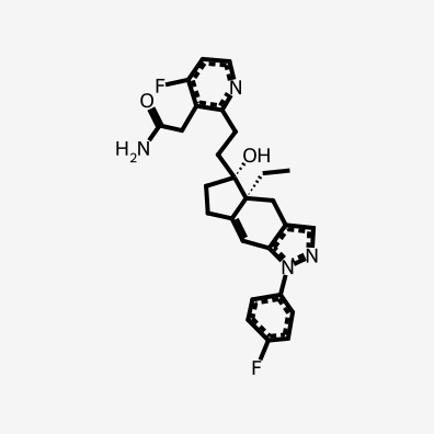 CC[C@]12Cc3cnn(-c4ccc(F)cc4)c3C=C1CC[C@@]2(O)CCc1nccc(F)c1CC(N)=O